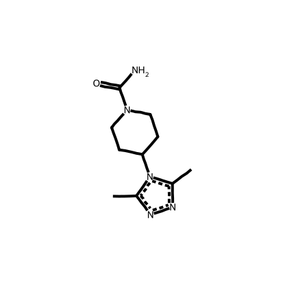 Cc1nnc(C)n1C1CCN(C(N)=O)CC1